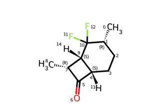 C[C@@H]1CC[C@@H]2C(=O)[C@H](C)[C@@H]2C1(F)F